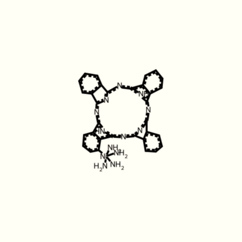 [NH2][Ni]([NH2])([NH2])([NH2])[c]1cccc2c3nc4nc(nc5[nH]c(nc6nc(nc([nH]3)c12)-c1ccccc1-6)c1ccccc51)-c1ccccc1-4